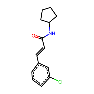 O=C(/C=C/c1cccc(Cl)c1)NC1CCCC1